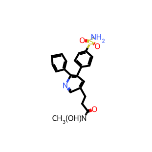 CN(O)C(=O)CCc1cnc(-c2ccccc2)c(-c2ccc(S(N)(=O)=O)cc2)c1